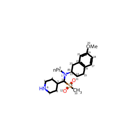 CCCN(C(C1CCNCC1)S(C)(=O)=O)[C@@H]1CCc2ccc(OC)cc2C1